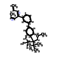 C=C/C=C(\C=C/C)c1cccc(-c2ccc(C(COC)(C(C)(C)C)C(F)(F)F)cc2)c1